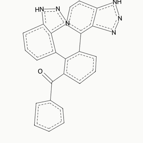 O=C(c1ccccc1)c1cccc(-c2cccc3[nH]nnc23)c1-c1cccc2[nH]nnc12